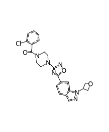 O=C(c1ccccc1Cl)N1CCN(c2noc(-c3ccc4cnn(C5COC5)c4c3)n2)CC1